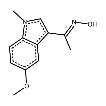 COc1ccc2c(c1)c(/C(C)=N/O)cn2C